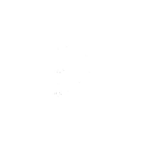 NC(=O)C(Cc1ccccc1)S(=O)(=O)Nc1ccccc1